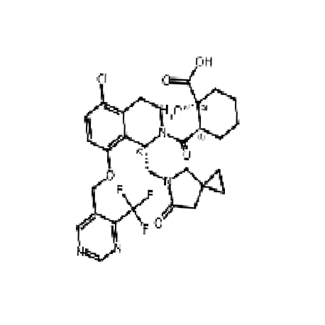 C[C@]1(C(=O)O)CCCC[C@H]1C(=O)N1CCc2c(Cl)ccc(OCc3cncnc3C(F)(F)F)c2[C@H]1CN1CC2(CC2)CC1=O